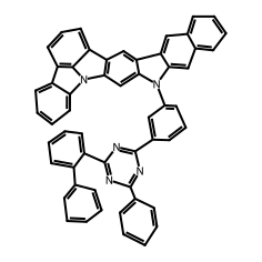 c1ccc(-c2nc(-c3cccc(-n4c5cc6ccccc6cc5c5cc6c7cccc8c9ccccc9n(c6cc54)c87)c3)nc(-c3ccccc3-c3ccccc3)n2)cc1